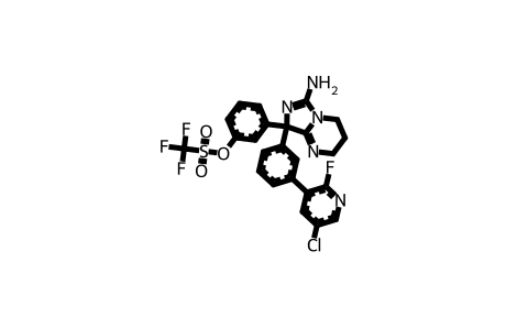 NC1=NC(c2cccc(OS(=O)(=O)C(F)(F)F)c2)(c2cccc(-c3cc(Cl)cnc3F)c2)C2=NCCCN12